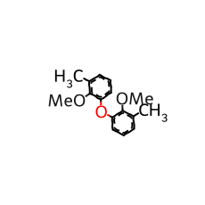 COc1c(C)cccc1Oc1cccc(C)c1OC